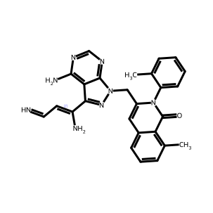 Cc1ccccc1-n1c(Cn2nc(/C(N)=C/C=N)c3c(N)ncnc32)cc2cccc(C)c2c1=O